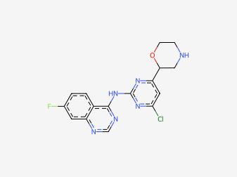 Fc1ccc2c(Nc3nc(Cl)cc(C4CNCCO4)n3)ncnc2c1